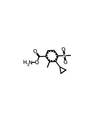 Cc1c(C(=O)ON)ccc(S(C)(=O)=O)c1C1CC1